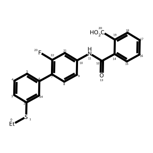 CCSc1cccc(-c2ccc(NC(=O)c3ccccc3C(=O)O)cc2F)c1